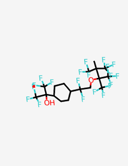 CC(C(F)(F)F)(C(F)(F)F)C(OCC(F)(F)C1CCC(C(O)(C(F)(F)F)C(F)(F)F)CC1)(C(F)(F)F)C(F)(F)F